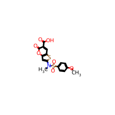 COc1ccc(S(=O)(=O)N(C)c2cc3oc(=O)c(C(=O)O)cc3s2)cc1